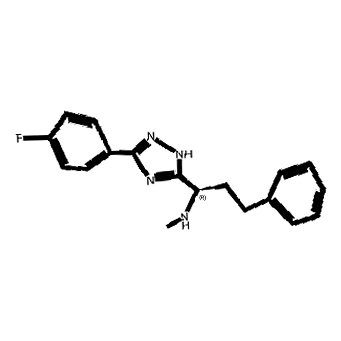 CN[C@H](CCc1ccccc1)c1nc(-c2ccc(F)cc2)n[nH]1